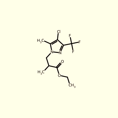 CCOC(=O)C(C)Cn1nc(C(F)(F)F)c(Cl)c1C